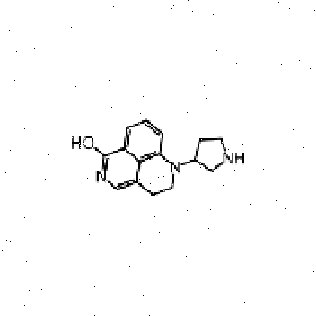 Oc1ncc2c3c(cccc13)N(C1CCNC1)CC2